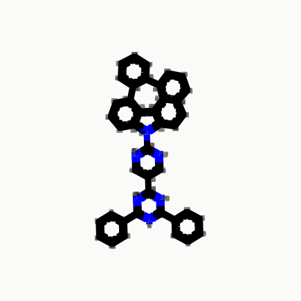 c1ccc(-c2nc(-c3ccccc3)nc(-c3cnc(-n4c5cccc6c5c5c7c(cccc7ccc54)-c4ccccc4-6)nc3)n2)cc1